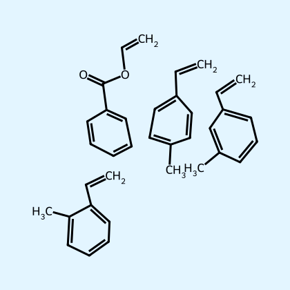 C=COC(=O)c1ccccc1.C=Cc1ccc(C)cc1.C=Cc1cccc(C)c1.C=Cc1ccccc1C